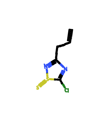 C=CCC1=NS(=S)C(Cl)=N1